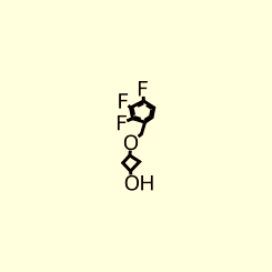 OC1CC(OCc2ccc(F)c(F)c2F)C1